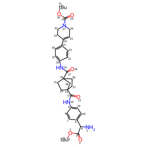 CC(C)(C)OC(=O)C(N)c1ccc(NC(=O)C23CCC(C(=O)Nc4ccc(C5=CCN(C(=O)OC(C)(C)C)CC5)cc4)(CC2)C3)cc1